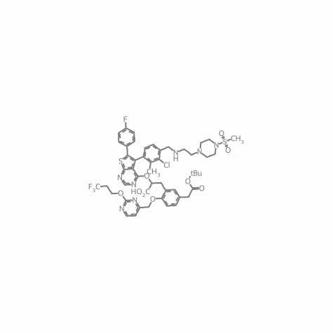 Cc1c(-c2c(-c3ccc(F)cc3)sc3ncnc(OC(Cc4cc(CC(=O)OC(C)(C)C)ccc4OCc4ccnc(OCCC(F)(F)F)n4)C(=O)O)c23)ccc(CNCCN2CCN(S(C)(=O)=O)CC2)c1Cl